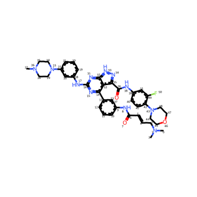 CN(C)C/C=C/C(=O)Nc1cccc(-c2nc(Nc3cccc(N4CCN(C)CC4)c3)nc3[nH]nc(C(=O)Nc4ccc(N5CCOCC5)c(F)c4)c23)c1